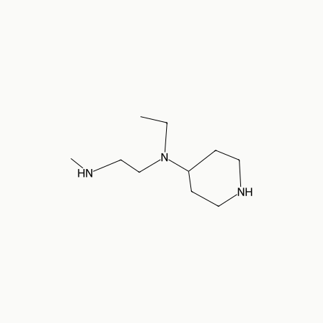 CCN(CCNC)C1CCNCC1